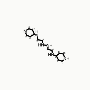 C1CC(NCCNNCCNC2CCNCC2)CCN1